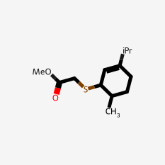 COC(=O)CSC1C=C(C(C)C)CCC1C